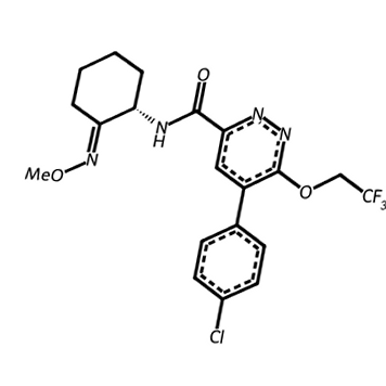 CO/N=C1\CCCC[C@@H]1NC(=O)c1cc(-c2ccc(Cl)cc2)c(OCC(F)(F)F)nn1